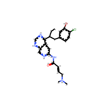 CCC(Cc1ccc(Cl)c(Br)c1)c1ncnc2cnc(NC(=O)/C=C/CN(C)C)cc12